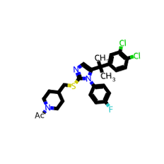 CC(=O)N1CCC(CSc2ncc(C(C)(C)c3ccc(Cl)c(Cl)c3)n2-c2ccc(F)cc2)CC1